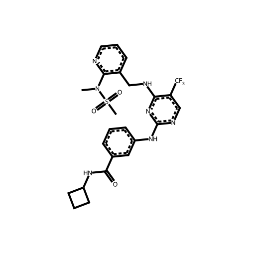 CN(c1ncccc1CNc1nc(Nc2cccc(C(=O)NC3CCC3)c2)ncc1C(F)(F)F)S(C)(=O)=O